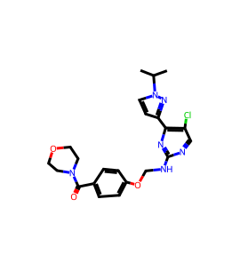 CC(C)n1ccc(-c2nc(NCOc3ccc(C(=O)N4CCOCC4)cc3)ncc2Cl)n1